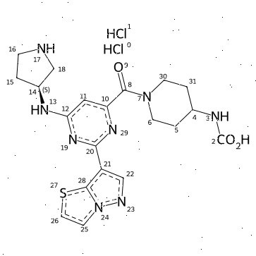 Cl.Cl.O=C(O)NC1CCN(C(=O)c2cc(N[C@H]3CCNC3)nc(-c3cnn4ccsc34)n2)CC1